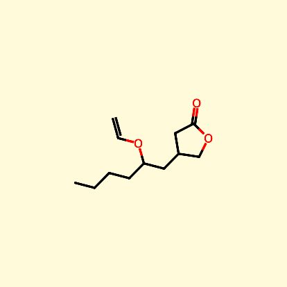 C=COC(CCCC)CC1COC(=O)C1